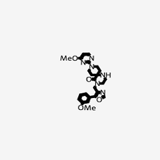 COc1cccc(-c2ocnc2CN2CCNC3(CCN(c4nccc(OC)n4)CC3)C2=O)c1